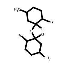 CC1CCC(C(C)C)C(Cl)(OC2(Cl)CC(C)CCC2C(C)C)C1